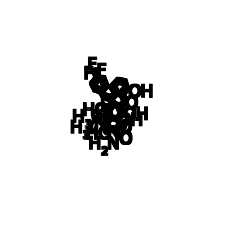 CN(C)[C@H]1C(O)=C(C(N)=O)C(=O)[C@]2(O)C(O)=C3C(=O)c4c(O)cccc4/C(=C\c4ccc(C(F)(F)F)cc4)[C@@H]3[C@@H](O)[C@H]12